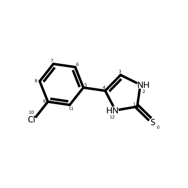 S=c1[nH]cc(-c2cccc(Cl)c2)[nH]1